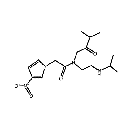 CC(C)NCCN(CC(=O)C(C)C)C(=O)Cn1ccc([N+](=O)[O-])c1